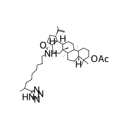 C=C(C)[C@@H]1CC[C@]2(C(=O)NCCCCCCCC(C)c3nnn[nH]3)CC[C@]3(C)[C@H](CCC4[C@@]5(C)CC[C@H](OC(C)=O)C(C)(C)[C@@H]5CC[C@]43C)[C@@H]12